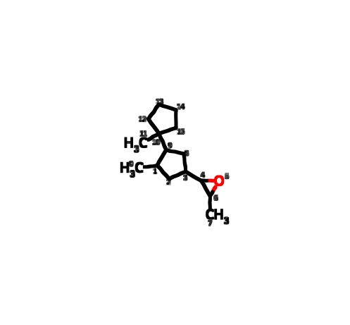 CC1CC(C2OC2C)CC1C1(C)CCCC1